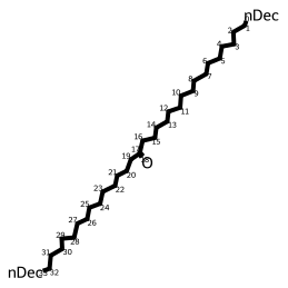 CCCCCCCCCCCCCCCCCCCCCCCCCCC(=O)CCCCCCCCCCCCCCCCCCCCCCCC